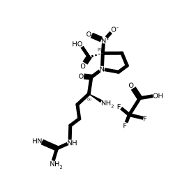 N=C(N)NCCC[C@H](N)C(=O)N1CCC[C@]1(C(=O)O)[N+](=O)[O-].O=C(O)C(F)(F)F